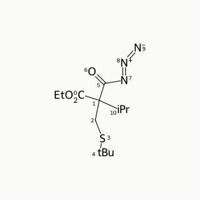 CCOC(=O)C(CSC(C)(C)C)(C(=O)N=[N+]=[N-])C(C)C